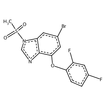 CS(=O)(=O)n1cnc2c(Oc3ccc(F)cc3F)cc(Br)cc21